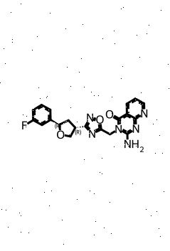 Nc1nc2ncccc2c(=O)n1Cc1nc([C@@H]2CO[C@@H](c3cccc(F)c3)C2)no1